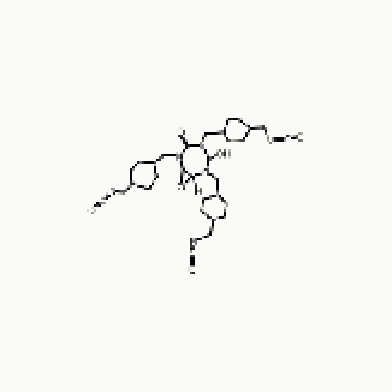 O=C=NCC1CCC(CN2C(=O)N(CC3CCC(CN=C=O)CC3)C(O)N(CC3CCC(CN=C=O)CC3)[C@@H]3OC32)CC1